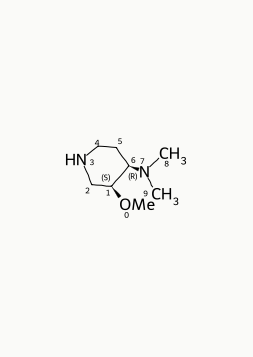 CO[C@H]1CNCC[C@H]1N(C)C